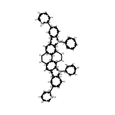 c1ccc(-n2c3ccc(-c4ccccn4)cc3c3cc4c5c(c32)CCc2c-5c(cc3c5cc(-c6ccccn6)ccc5n(-c5ccccc5)c23)CC4)cc1